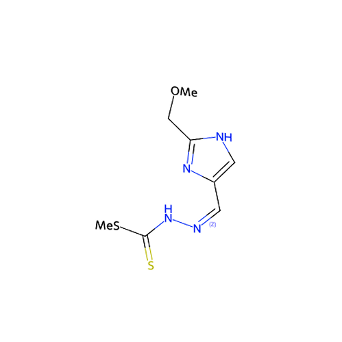 COCc1nc(/C=N\NC(=S)SC)c[nH]1